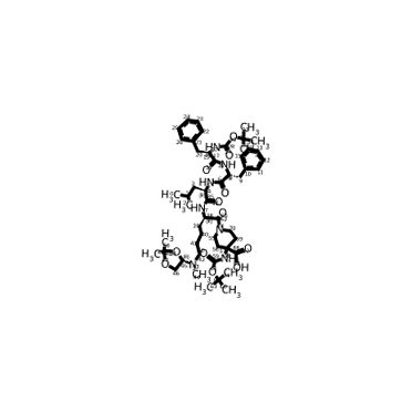 CC(C)C[C@@H](NC(=O)[C@@H](Cc1ccccc1)NC(=O)[C@@H](Cc1ccccc1)NC(=O)OC(C)(C)C)C(=O)N[C@H](CCCCN(C)[C@H]1COC(C)(C)O1)C(=O)N1CCC(NC(=O)OC(C)(C)C)(C(=O)O)CC1